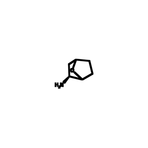 N[C@H]1CC2CCC1O2